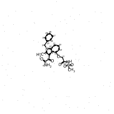 Cc1c(C(=O)C(N)=O)c2c(OCC(=O)NS(C)(=O)=O)cccc2n1Cc1ccccc1